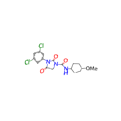 COC1CCC(NC(=O)N2CC(=O)N(c3cc(Cl)cc(Cl)c3)C2=O)CC1